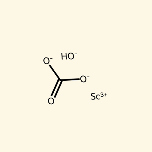 O=C([O-])[O-].[OH-].[Sc+3]